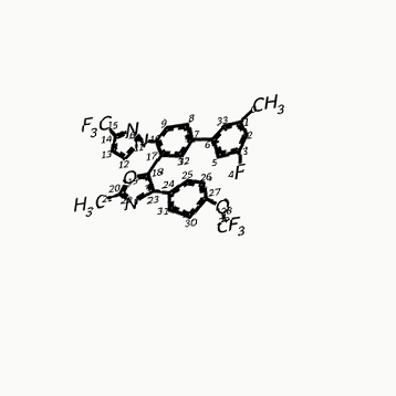 Cc1cc(F)cc(-c2ccc(-n3ccc(C(F)(F)F)n3)c(-c3oc(C)nc3-c3ccc(OC(F)(F)F)cc3)c2)c1